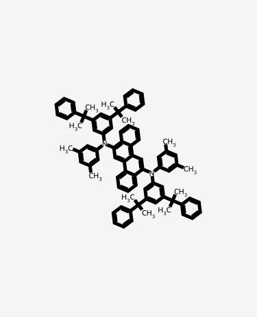 Cc1cc(C)cc(N(c2cc(C(C)(C)c3ccccc3)cc(C(C)(C)c3ccccc3)c2)c2cc3c4ccccc4c(N(c4cc(C)cc(C)c4)c4cc(C(C)(C)c5ccccc5)cc(C(C)(C)c5ccccc5)c4)cc3c3ccccc23)c1